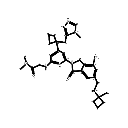 CN(C)C(=O)CNc1cc(C2(Cc3nncn3C)CCC2)cc(N2Cc3c(cc(CNC4(C)CCC4)cc3C(F)(F)F)C2=O)n1